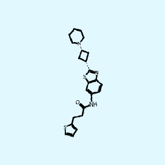 O=C(CCc1cccs1)Nc1ccc2nc([C@H]3C[C@@H](N4CCCCC4)C3)sc2c1